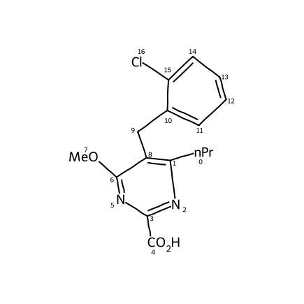 CCCc1nc(C(=O)O)nc(OC)c1Cc1ccccc1Cl